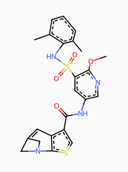 COc1ncc(NC(=O)c2csc3c2C=C2CN3C2)cc1S(=O)(=O)Nc1c(C)cccc1C